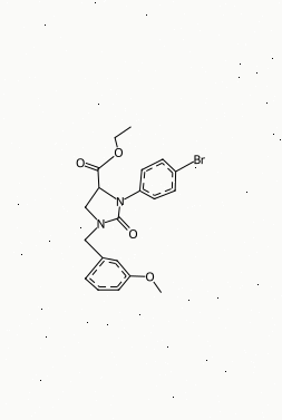 CCOC(=O)C1CN(Cc2cccc(OC)c2)C(=O)N1c1ccc(Br)cc1